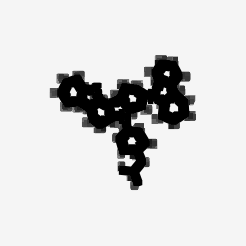 CC(C)Cc1ccc(-n2c3cc(-n4c5ccccc5c5ccccc54)ccc3c3c4sc5ccccc5c4ccc32)cc1